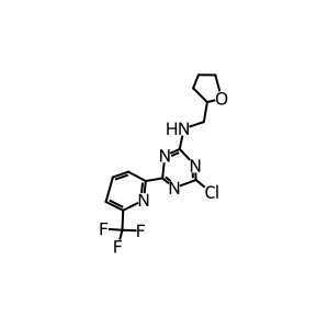 FC(F)(F)c1cccc(-c2nc(Cl)nc(NCC3CCCO3)n2)n1